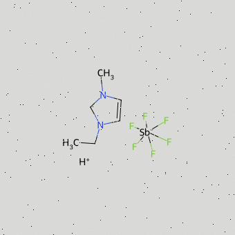 CCN1C=CN(C)C1.[F][Sb-]([F])([F])([F])([F])[F].[H+]